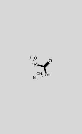 O.O.O=C(O)O.[Ni]